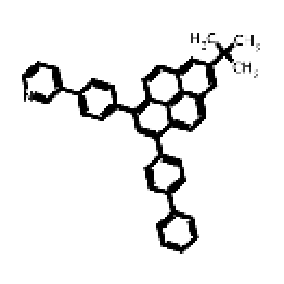 CC(C)(C)c1cc2ccc3c(-c4ccc(-c5ccccc5)cc4)cc(-c4ccc(-c5cccnc5)cc4)c4ccc(c1)c2c34